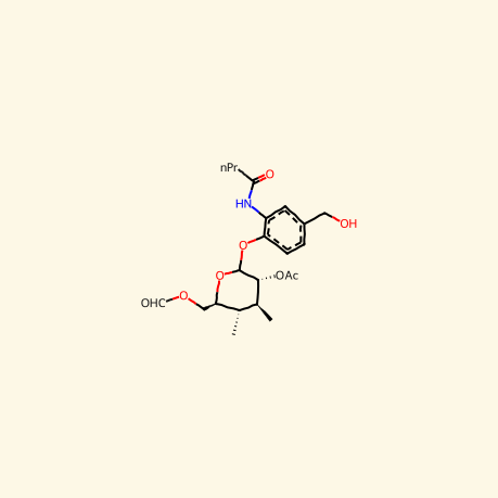 CCCC(=O)Nc1cc(CO)ccc1OC1O[C@H](COC=O)[C@@H](C)[C@H](C)[C@H]1OC(C)=O